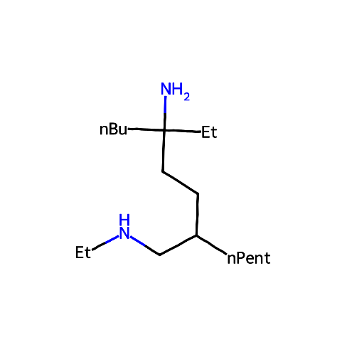 CCCCCC(CCC(N)(CC)CCCC)CNCC